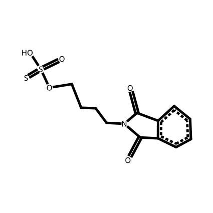 O=C1c2ccccc2C(=O)N1CCCCOS(=O)(O)=S